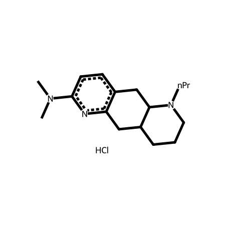 CCCN1CCCC2Cc3nc(N(C)C)ccc3CC21.Cl